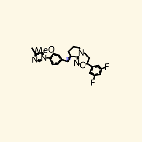 COc1cc(/C=C2\CCCN3CCC(c4cc(F)cc(F)c4)ON=C23)ccc1-n1cnc(C)c1